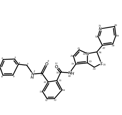 O=C(NCc1ccccc1)c1ccccc1C(=O)Nc1ccn2c1CSC2c1cccnc1